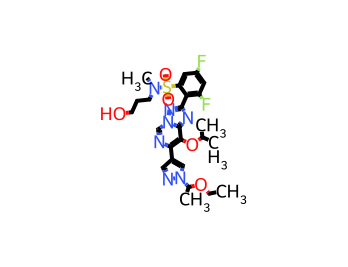 CCOC(C)n1cc(-c2ncn3nc(-c4c(F)cc(F)cc4S(=O)(=O)N(C)CCCO)nc3c2OC(C)C)cn1